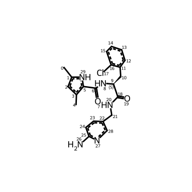 Cc1cc(C)c(C(=O)N[C@@H](Cc2ccccc2Cl)C(=O)NCc2ccc(N)nc2)[nH]1